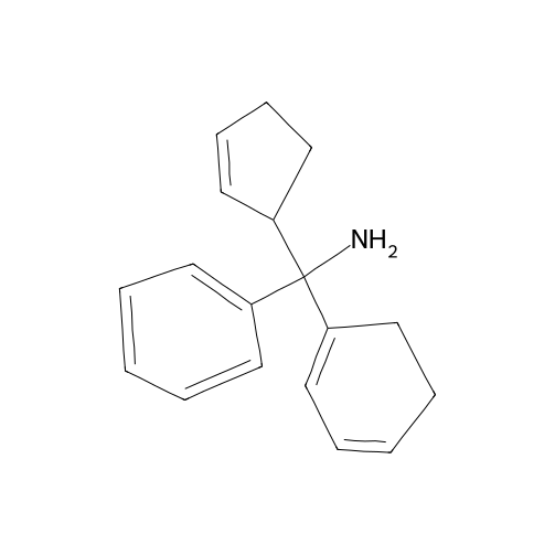 NC(C1=CC=CCC1)(c1ccccc1)C1C=CCC1